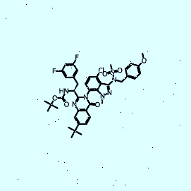 COc1ccc(CN(c2nn(C)c3c(-n4c([C@H](Cc5cc(F)cc(F)c5)NC(=O)OC(C)(C)C)nc5cc(C(C)(C)C)ccc5c4=O)ccc(Cl)c23)S(C)(=O)=O)cc1